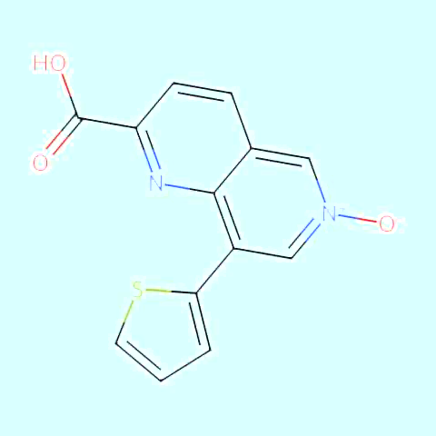 O=C(O)c1ccc2c[n+]([O-])cc(-c3cccs3)c2n1